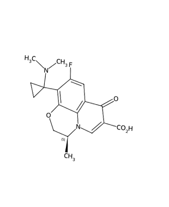 C[C@H]1COc2c(C3(N(C)C)CC3)c(F)cc3c(=O)c(C(=O)O)cn1c23